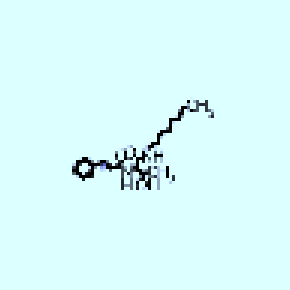 CCCCCCCCNC(=O)[C@@H](NC(=O)/C=C/c1ccccc1)[C@@H](C)O